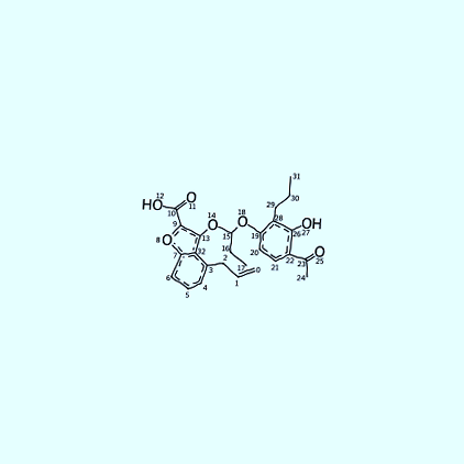 C=CCc1cccc2oc(C(=O)O)c(OC(CC)Oc3ccc(C(C)=O)c(O)c3CCC)c12